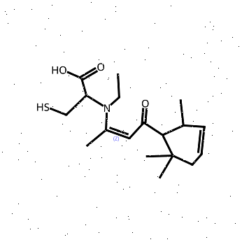 CCN(/C(C)=C\C(=O)C1C(C)C=CCC1(C)C)C(CS)C(=O)O